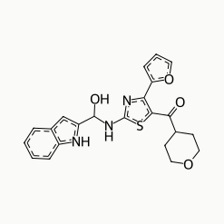 O=C(c1sc(NC(O)c2cc3ccccc3[nH]2)nc1-c1ccco1)C1CCOCC1